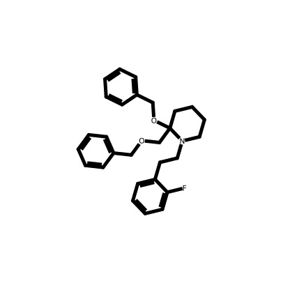 Fc1ccccc1CCN1CCCCC1(COCc1ccccc1)OCc1ccccc1